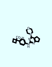 O=C(O)C1(c2ccc(Nc3nc4c(c(N5CCOCC5)n3)CCC4)cc2)CCC1